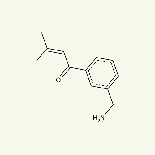 CC(C)=CC(=O)c1cccc(CN)c1